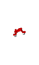 Cc1cc(N(c2ccc(-c3ccc4sc5ccccc5c4c3)cc2)c2ccccc2-c2ccccc2)cc(C)c1-c1c(C)cc(N(c2ccc(-c3ccc4sc5ccccc5c4c3)cc2)c2ccccc2-c2ccccc2)cc1C